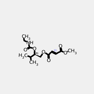 CCNC(=O)O[C@@H](COC(=O)/C=C/C(=O)OC)C(C)C